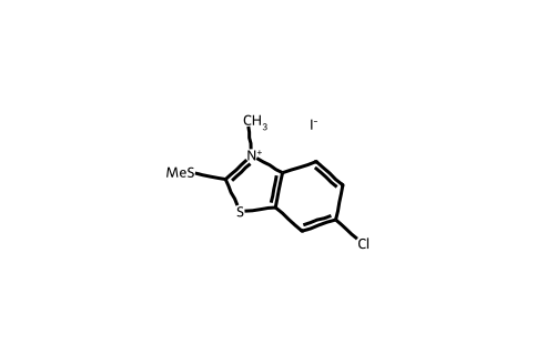 CSc1sc2cc(Cl)ccc2[n+]1C.[I-]